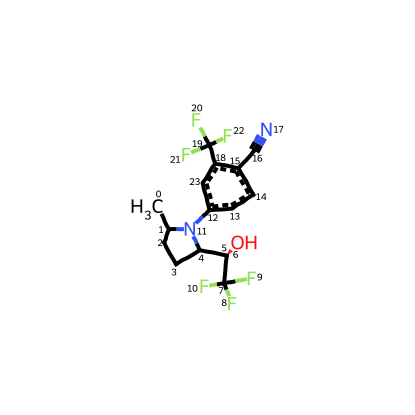 CC1CCC([C@H](O)C(F)(F)F)N1c1ccc(C#N)c(C(F)(F)F)c1